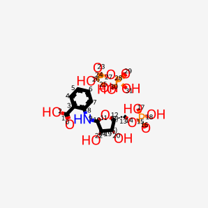 O=C(O)c1ccccc1NC1O[C@H](COP(=O)(O)O)[C@@H](O)[C@H]1O.O=P(O)(O)OP(=O)(O)O